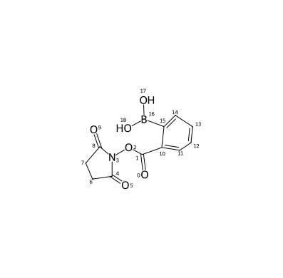 O=C(ON1C(=O)CCC1=O)c1ccccc1B(O)O